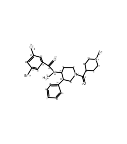 CC(=O)N1CCC(C(=O)N2CCC(N(C)C(=O)c3cc(Br)cc(C(F)(F)F)c3)C(c3ccccc3)C2)CC1